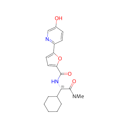 CNC(=O)[C@@H](NC(=O)c1ccc(-c2ccc(O)cn2)o1)C1CCCCC1